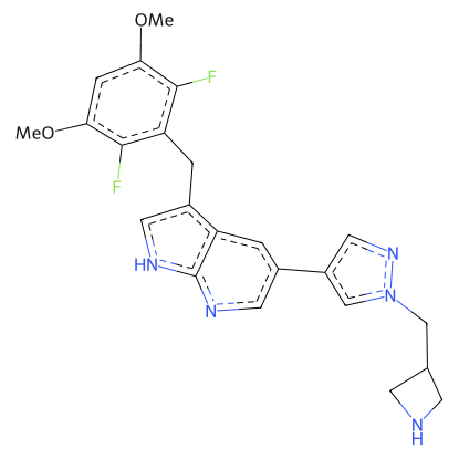 COc1cc(OC)c(F)c(Cc2c[nH]c3ncc(-c4cnn(CC5CNC5)c4)cc23)c1F